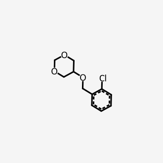 Clc1ccccc1COC1COCOC1